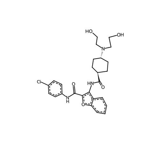 O=C(Nc1ccc(Cl)cc1)c1oc2ccccc2c1NC(=O)[C@H]1CC[C@H](N(CCO)CCO)CC1